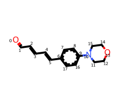 O=CC=CC=Cc1ccc(N2CCOCC2)cc1